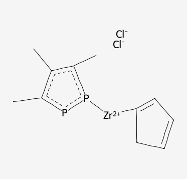 Cc1p[p]([Zr+2][C]2=CC=CC2)c(C)c1C.[Cl-].[Cl-]